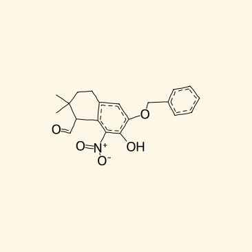 CC1(C)CCc2cc(OCc3ccccc3)c(O)c([N+](=O)[O-])c2C1C=O